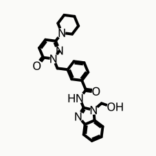 O=C(Nc1nc2ccccc2n1CO)c1cccc(Cn2nc(N3CCCCC3)ccc2=O)c1